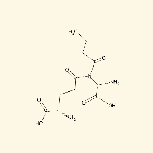 CCCC(=O)N(C(=O)CC[C@H](N)C(=O)O)C(N)C(=O)O